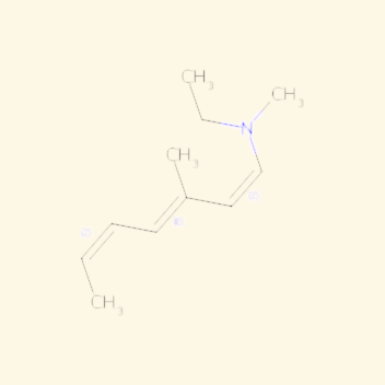 C\C=C/C=C(C)/C=C\N(C)CC